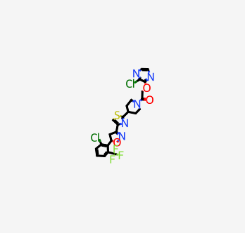 O=C(COc1nccnc1Cl)N1CCC(c2nc(C3=NOC(c4c(Cl)cccc4C(F)(F)F)C3)cs2)CC1